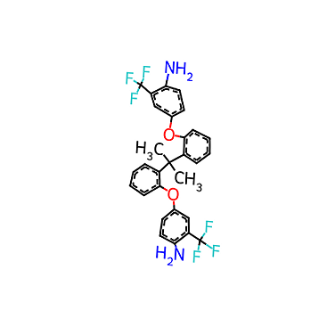 CC(C)(c1ccccc1Oc1ccc(N)c(C(F)(F)F)c1)c1ccccc1Oc1ccc(N)c(C(F)(F)F)c1